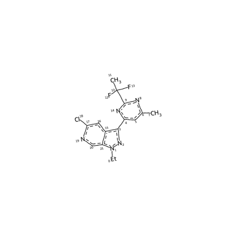 CCn1nc(-c2cc(C)nc(C(C)(F)F)n2)c2cc(Cl)ncc21